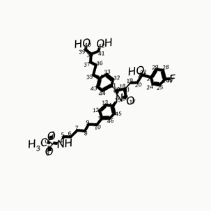 CS(=O)(=O)NCCCCCCc1ccc(N2C(=O)[C@H](CC[C@H](O)c3ccc(F)cc3)[C@H]2c2ccc(CCCC(CO)CO)cc2)cc1